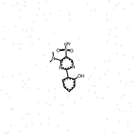 CCCS(=O)(=O)c1cnc(-c2ccccc2O)nc1N(C)C